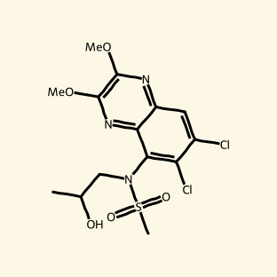 COc1nc2cc(Cl)c(Cl)c(N(CC(C)O)S(C)(=O)=O)c2nc1OC